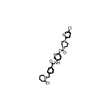 CCC1CCCCN1Cc1ccc(C(=O)Nc2ccc(OC(=O)N3CCN(c4ccc(Cl)cn4)CC3)nc2)cc1